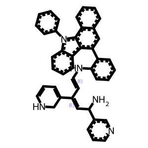 NC(/C=C(\C=C\Nc1ccccc1-c1cc2ccccc2c2c1c1ccccc1n2-c1ccccc1)C1=CC=CNC1)c1cccnc1